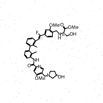 COC(=O)[C@@H](CO)NCc1ccc(/C(F)=C/c2cccc(-c3cccc(NC(=O)c4cc(OC)c(CN5CC[C@H](O)C5)cn4)c3C)c2C)cc1OC